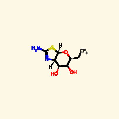 NC1=N[C@@H]2[C@@H](O)[C@H](O)[C@@H](CC(F)(F)F)O[C@@H]2S1